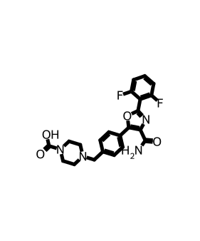 NC(=O)c1nc(-c2c(F)cccc2F)oc1-c1ccc(CN2CCN(C(=O)O)CC2)cc1